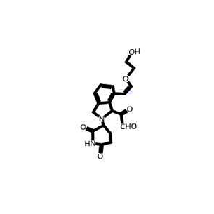 O=CC(=O)C1c2c(/C=C\OCCO)cccc2CN1C1CCC(=O)NC1=O